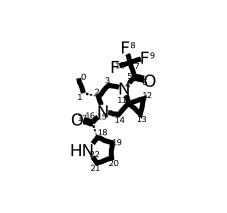 CC[C@@H]1CN(C(=O)C(F)(F)F)C2(CC2)CN1C(=O)[C@@H]1CCCN1